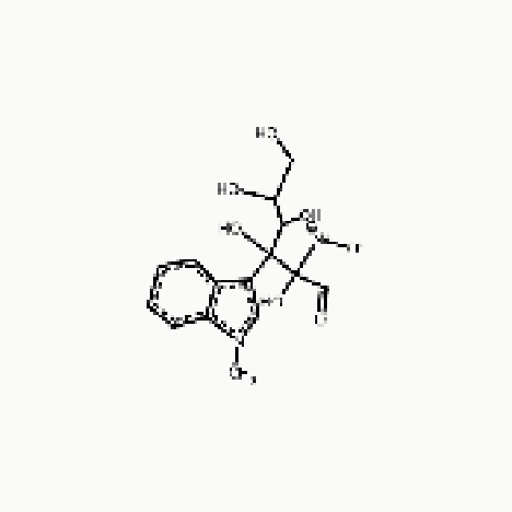 Cn1cc(C(O)(C(O)C(O)CO)C(O)(C=O)[N+](=O)[O-])c2ccccc21